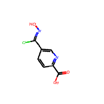 O=C(O)c1ccc(C(Cl)=NO)cn1